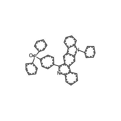 O=P(c1ccccc1)(c1ccccc1)c1ccc(-c2nc3ccccc3c3cc4c(cc23)c2ccccc2n4-c2ccccc2)cc1